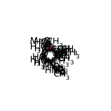 CO[C@]1(C)C[C@H](O[C@H]2[C@H](C)[C@@H](O[C@@H]3O[C@H](C)C[C@H](N(C)C)[C@H]3O)[C@](C)(O)C[C@@H](C)CN(CCNC(=O)NC(C)c3cccc4ccccc34)[C@H](C)[C@@H](O)[C@](C)(O)[C@@H](I)OC(=O)[C@@H]2C)O[C@@H](C)[C@@H]1O